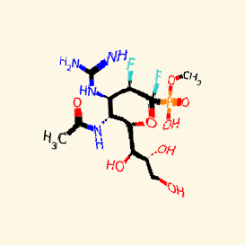 COP(=O)(O)[C@]1(F)O[C@@H]([C@H](O)[C@H](O)CO)[C@H](NC(C)=O)[C@@H](NC(=N)N)[C@H]1F